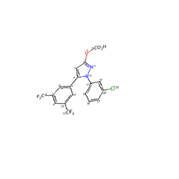 O=C(O)Oc1cc(-c2cc(C(F)(F)F)cc(C(F)(F)F)c2)n(-c2cccc(Cl)c2)n1